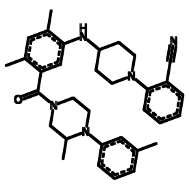 Cc1cccc(N2CCN(C(=O)c3cc(NC4CCN(c5ccccc5C#N)CC4)c(C)cc3C)CC2C)c1